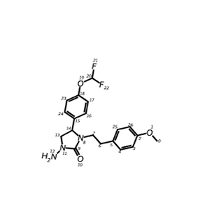 COc1ccc(CCN2C(=O)N(N)CC2c2ccc(OC(F)F)cc2)cc1